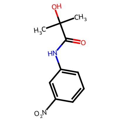 CC(C)(O)C(=O)Nc1cccc([N+](=O)[O-])c1